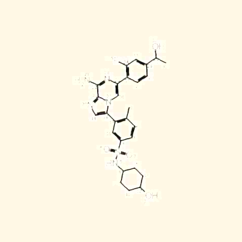 Cc1ccc(S(=O)(=O)NC2CCC(O)CC2)cc1-c1cnc2c(N)nc(-c3ccc(C(C)O)cc3F)cn12